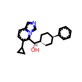 O[C@H](c1c(C2CC2)ccc2cncn12)[C@H]1CC[C@H](c2ccccc2)CC1